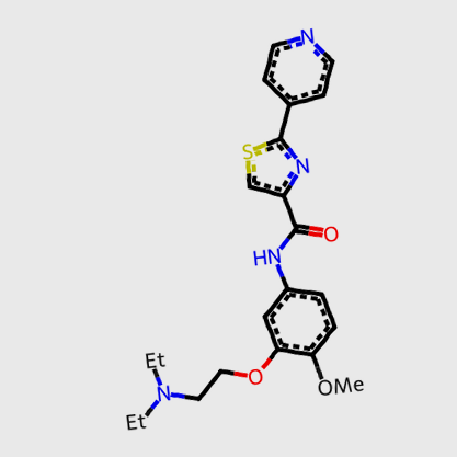 CCN(CC)CCOc1cc(NC(=O)c2csc(-c3ccncc3)n2)ccc1OC